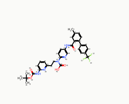 Cc1ccc(-c2ccc(C(F)(F)F)cc2)c(C(=O)Nc2ccc(N(CCc3cccc(NC(=O)OC(C)(C)C)n3)C(=O)O)nc2)c1